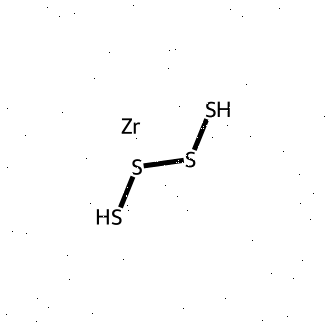 SSSS.[Zr]